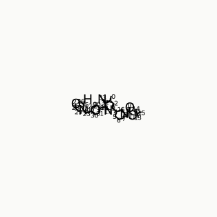 Cc1cc(C2CCCN(C(=O)OC(C)(C)C)C2)nc(-c2ccc(CN3CCOCC3)cc2)c1N